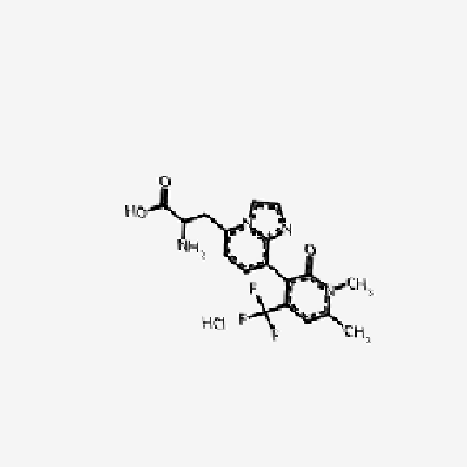 Cc1cc(C(F)(F)F)c(-c2ccc(CC(N)C(=O)O)n3ccnc23)c(=O)n1C.Cl